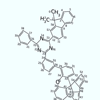 CC1(C)c2ccccc2-c2ccc(-c3nc(-c4ccccc4)nc(-c4cccc(-c5cccc6c5Oc5ccccc5C65c6ccccc6-c6ccccc65)c4)n3)cc21